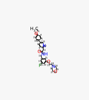 CCOc1ccc(-c2ccc(CC(=O)NCc3cc(F)cc(OCCN4CCOCC4)c3)nc2)cc1